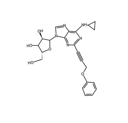 OC[C@H]1OC(n2cnc3c(NC4CC4)nc(C#CCOc4ccccc4)nc32)[C@H](O)C1O